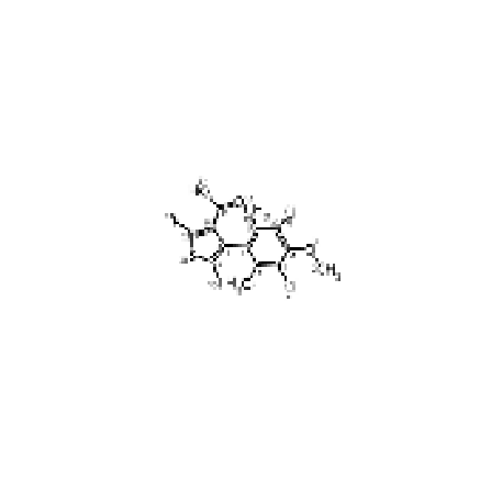 COc1c(Cl)c(C)c(-c2c(I)sc(I)c2C(=O)O)c(C)c1Cl